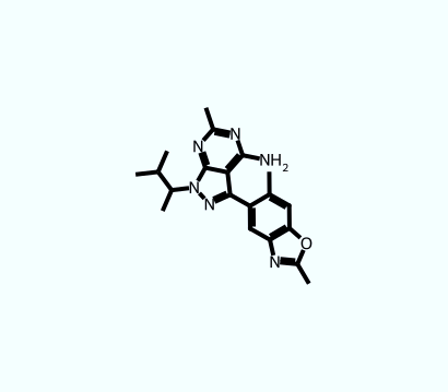 Cc1nc(N)c2c(-c3cc4nc(C)oc4cc3C)nn(C(C)C(C)C)c2n1